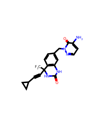 Nc1ccnn(Cc2ccc3c(c2)NC(=O)NC3(C#CC2CC2)C(F)(F)F)c1=O